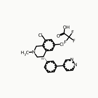 CN1Cc2c(Cl)cc(Cl)cc2[C@H](c2cccc(-c3ccnnc3)c2)C1.O=C(O)C(F)(F)F